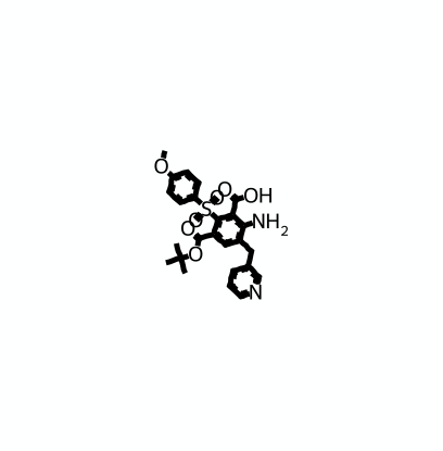 COc1ccc(S(=O)(=O)c2c(C(=O)OC(C)(C)C)cc(Cc3cccnc3)c(N)c2C(=O)O)cc1